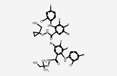 CC(C)(CO)ONC(=O)c1cc(Br)c(F)c(F)c1Nc1ccc(I)cc1Cl.O=C(NOC1(CO)CC1)c1cc(Br)c(F)c(F)c1Nc1ccc(I)cc1Cl